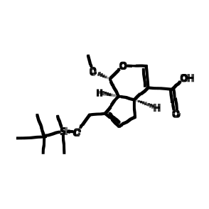 CO[C@@H]1OC=C(C(=O)O)[C@H]2CC=C(CO[Si](C)(C)C(C)(C)C)[C@@H]12